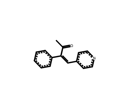 CC(=O)C(=Cc1ccncc1)c1ccccc1